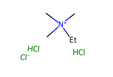 CC[N+](C)(C)C.Cl.Cl.[Cl-]